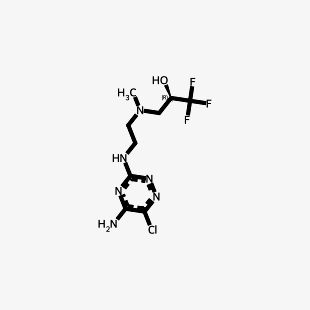 CN(CCNc1nnc(Cl)c(N)n1)C[C@@H](O)C(F)(F)F